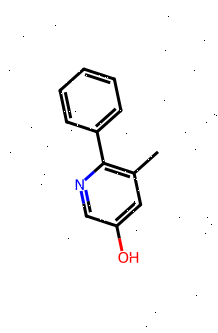 Cc1cc(O)cnc1-c1ccccc1